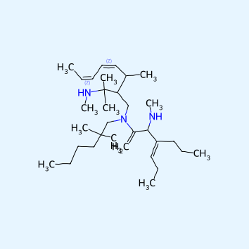 C=C(C(NC)C(=CCC)CCC)N(CC(C(C)/C=C\C=C/C)C(C)(C)NC)CC(C)(C)CCCC